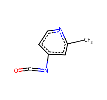 O=C=Nc1ccnc(C(F)(F)F)c1